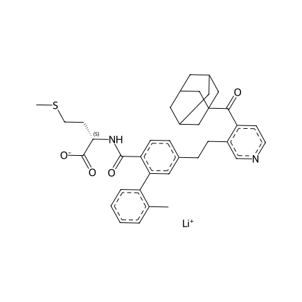 CSCC[C@H](NC(=O)c1ccc(CCc2cnccc2C(=O)C23CC4CC(CC(C4)C2)C3)cc1-c1ccccc1C)C(=O)[O-].[Li+]